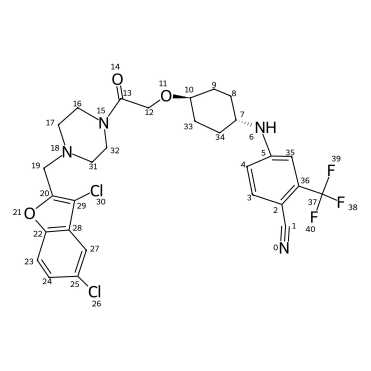 N#Cc1ccc(N[C@H]2CC[C@H](OCC(=O)N3CCN(Cc4oc5ccc(Cl)cc5c4Cl)CC3)CC2)cc1C(F)(F)F